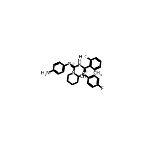 Cc1cccc(C)c1/C(=N\c1ccc(F)cc1)N/C(=N/c1ccc(N)cc1)N1CCCCC1C